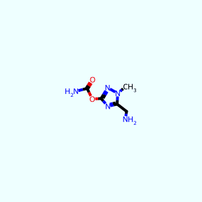 Cn1nc(OC(N)=O)nc1CN